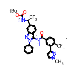 Cn1ccc(-c2cc(C(=O)Nc3c4ccc([C@@H](NC(=O)OC(C)(C)C)C(F)(F)F)cc4nn3-c3ccccc3)ccc2C(F)(F)F)n1